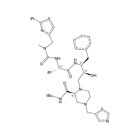 CC(C)c1nc(CN(C)C(=O)N[C@H](C(=O)N[C@@H](Cc2ccccc2)[C@@H](O)CN2CCN(Cc3cncs3)C[C@H]2C(=O)NC(C)(C)C)C(C)C)cs1